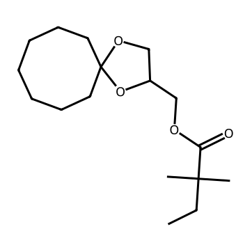 CCC(C)(C)C(=O)OCC1COC2(CCCCCCC2)O1